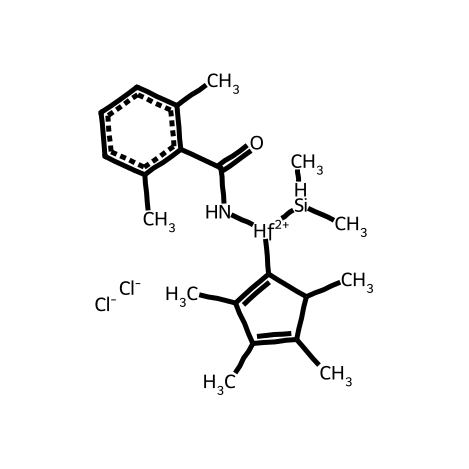 CC1=C(C)C(C)[C]([Hf+2]([NH]C(=O)c2c(C)cccc2C)[SiH](C)C)=C1C.[Cl-].[Cl-]